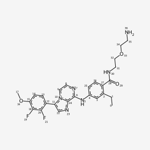 CCc1cc(Nc2nccn3c(-c4ccc(OC)c(F)c4F)cnc23)ccc1C(=O)NCCOCCN